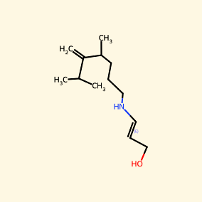 C=C(C(C)C)C(C)CCCN/C=C/CO